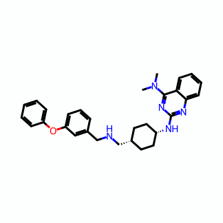 CN(C)c1nc(N[C@H]2CC[C@@H](CNCc3cccc(Oc4ccccc4)c3)CC2)nc2ccccc12